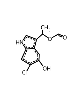 CC(OC=O)c1c[nH]c2cc(Cl)c(O)cc12